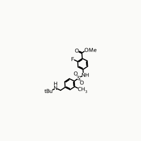 COC(=O)c1ccc(NS(=O)(=O)c2ccc(CNC(C)(C)C)cc2C)cc1F